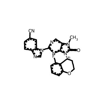 Cn1c(=O)n([C@@H]2CCOc3cccc(F)c32)c2nc(-n3cnc4ccc(C#N)cc43)ncc21